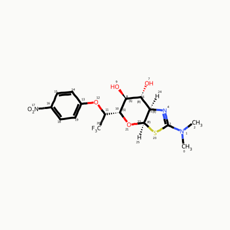 CN(C)C1=N[C@@H]2[C@@H](O)[C@H](O)[C@@H](C(Oc3ccc([N+](=O)[O-])cc3)C(F)(F)F)O[C@@H]2S1